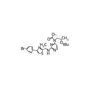 C[C@H](Nc1nccc(N2C(=O)OC[C@@H]2[C@@H](C)OC(C)(C)C)n1)c1nc(-c2ccc(Br)cc2)cs1